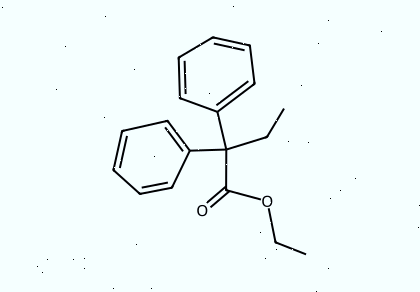 CCOC(=O)C(CC)(c1ccccc1)c1ccccc1